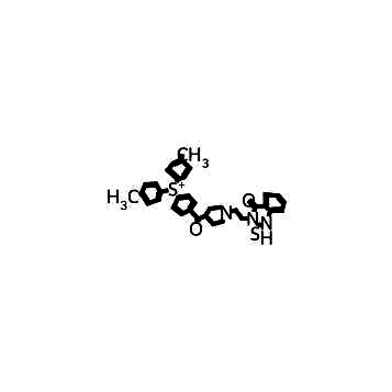 Cc1ccc([S+](c2ccc(C)cc2)c2ccc(C(=O)C3CCN(CCn4c(=S)[nH]c5ccccc5c4=O)CC3)cc2)cc1